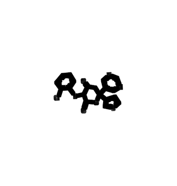 O=C1CC(c2cncnc2)(c2ccsc2)OC(=O)C1Sc1ccccc1Cl